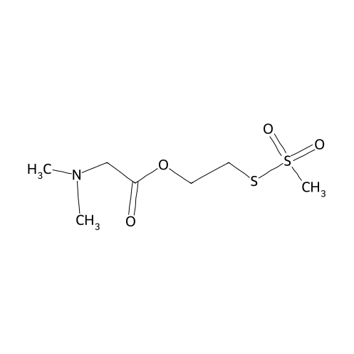 CN(C)CC(=O)OCCSS(C)(=O)=O